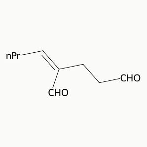 CCC/C=C(\C=O)CCC=O